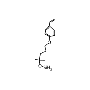 C=Cc1ccc(OCCCC(C)(C)O[SiH3])cc1